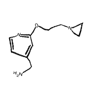 NCc1ccnc(OCCN2CC2)c1